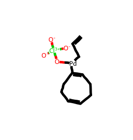 C=C[CH2][Pd]([O][Cl+3]([O-])([O-])[O-])[C]1=CCCC=CCC1